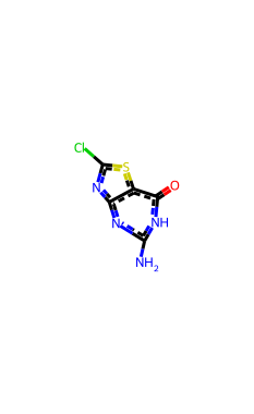 Nc1nc2nc(Cl)sc2c(=O)[nH]1